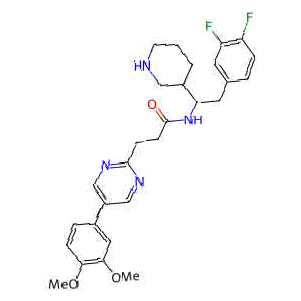 COc1ccc(-c2cnc(CCC(=O)NC(Cc3ccc(F)c(F)c3)C3CCCNC3)nc2)cc1OC